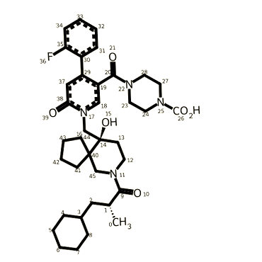 C[C@H](CC1CCCCC1)C(=O)N1CC[C@@](O)(Cn2cc(C(=O)N3CCN(C(=O)O)CC3)c(-c3ccccc3F)cc2=O)C2(CCCC2)C1